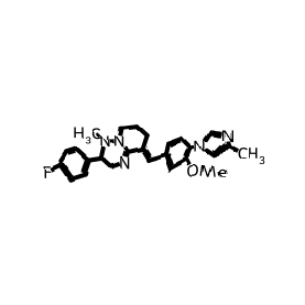 COc1cc(/C=C2\CCCN3C2=NCC(c2ccc(F)cc2)N3C)ccc1-n1cnc(C)c1